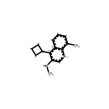 CNc1cnc2c(C)cccc2c1C1CCC1